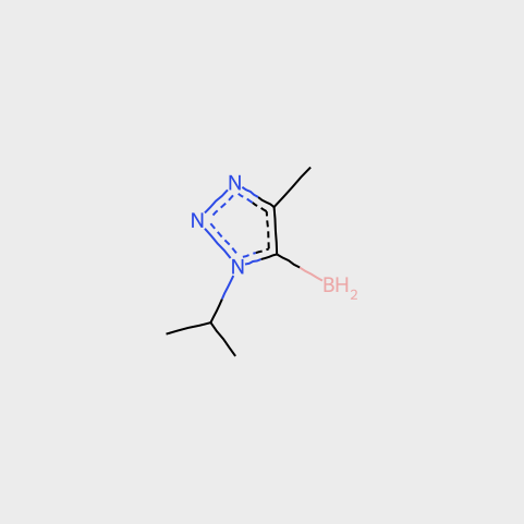 Bc1c(C)nnn1C(C)C